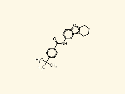 CC(C)(C)c1ccc(C(=O)Nc2ccc3oc4c(c3c2)CCCC4)cc1